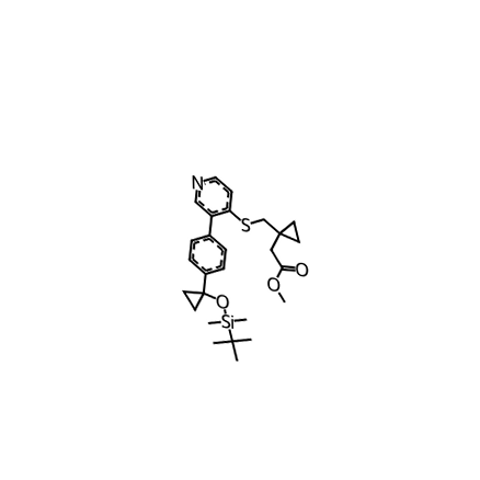 COC(=O)CC1(CSc2ccncc2-c2ccc(C3(O[Si](C)(C)C(C)(C)C)CC3)cc2)CC1